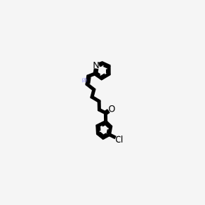 O=C(CCCC/C=C\c1ccccn1)c1cccc(Cl)c1